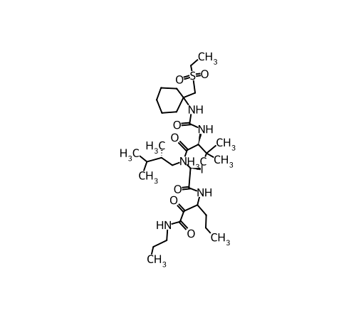 CCCNC(=O)C(=O)C(CCC)NC(=O)[C@H](I)N(C[C@@H](C)C(C)C)C(=O)[C@@H](NC(=O)NC1(CS(=O)(=O)CC)CCCCC1)C(C)(C)C